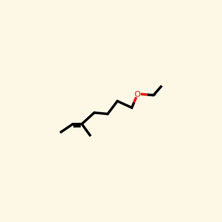 C[CH]OCCCC/C(C)=C/C